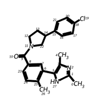 Cc1nc(C)c(-c2cc(C(=O)N3CCC(c4ccc(Cl)cc4)C3)ccc2C)[nH]1